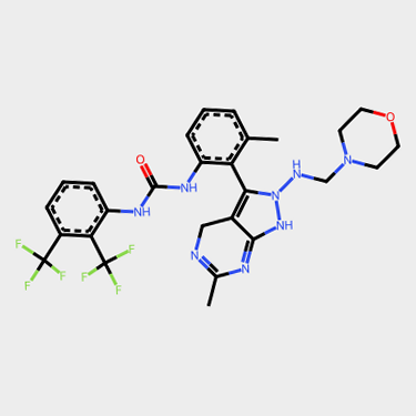 CC1=NCC2=C(c3c(C)cccc3NC(=O)Nc3cccc(C(F)(F)F)c3C(F)(F)F)N(NCN3CCOCC3)NC2=N1